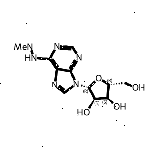 CNNc1ncnc2c1ncn2[C@@H]1O[C@H](CO)[C@@H](O)[C@H]1O